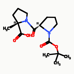 CC(C)(C)OC(=O)N1CCC[C@H]1C(=O)N1CCC[C@@]1(C)C(=O)O